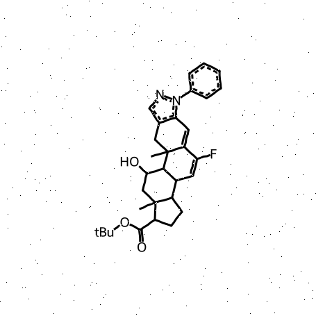 CC(C)(C)OC(=O)C1CCC2C3C=C(F)C4=Cc5c(cnn5-c5ccccc5)CC4(C)C3C(O)CC12C